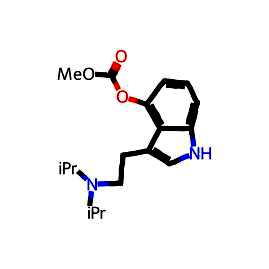 COC(=O)Oc1cccc2[nH]cc(CCN(C(C)C)C(C)C)c12